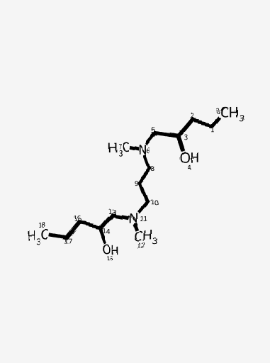 CCCC(O)CN(C)CCCN(C)CC(O)CCC